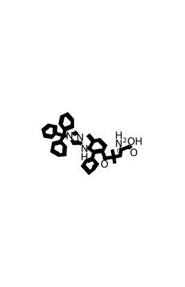 C=C1C=CC(C(=O)C(C)(C)C[C@H](N)C(=O)O)=C(c2ccccc2)C1Nc1cn(C(c2ccccc2)(c2ccccc2)c2ccccc2)cn1